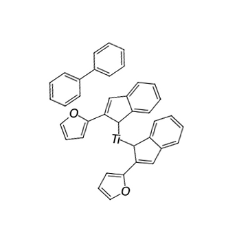 C1=C(c2ccco2)[CH]([Ti][CH]2C(c3ccco3)=Cc3ccccc32)c2ccccc21.c1ccc(-c2ccccc2)cc1